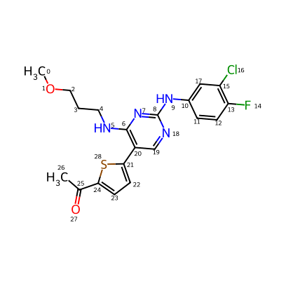 COCCCNc1nc(Nc2ccc(F)c(Cl)c2)ncc1-c1ccc(C(C)=O)s1